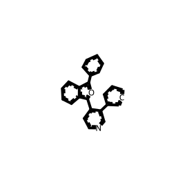 c1ccc(-c2cnccc2-c2oc(-c3ccccc3)c3ccccc23)cc1